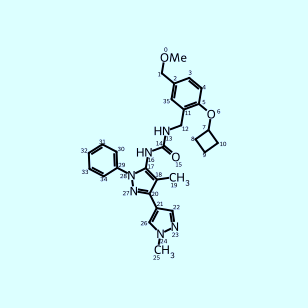 COCc1ccc(OC2CCC2)c(CNC(=O)Nc2c(C)c(-c3cnn(C)c3)nn2-c2ccccc2)c1